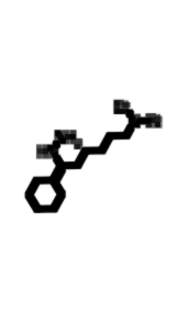 CCN(CC)CCCCCC(NN)=C1CCCCC1